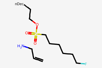 C=CCN.CCCCCCCCCCCCOS(=O)(=O)CCCCCCF